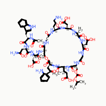 CC(=O)N[C@@H](Cc1c[nH]c2ccccc12)C(=O)N[C@H](CC(N)=O)C(=O)N[C@@H](CC(=O)O)C(=O)N[C@@H]1C(=O)NCC(=O)N[C@@H](CCCN)C(=O)N[C@@H](CC(=O)O)C(=O)N[C@H](C)C(=O)N[C@@H](CC(=O)O)C(=O)NCC(=O)N[C@H](COC(=O)OC(C)C)C(=O)N[C@@H]([C@@H](C)CC(=O)O)C(=O)N[C@@H](CC(=O)c2ccccc2N)C(=O)O[C@@H]1C